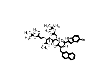 COC(=O)[C@H](CCC(=O)OC(C)(C)C)NC(=O)[C@H](CC(=O)OC(C)(C)C)NC(=O)[C@H](Cc1ccc2ccccc2c1)NC(=O)c1cc2cc(Br)ccc2[nH]1